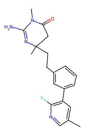 Cc1cnc(F)c(-c2cccc(CCC3(C)CC(=O)N(C)C(N)=N3)c2)c1